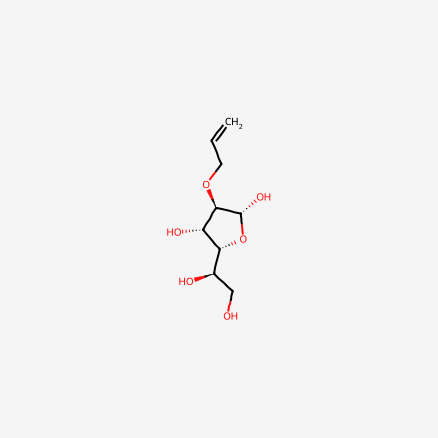 C=CCO[C@@H]1[C@@H](O)[C@@H]([C@H](O)CO)O[C@H]1O